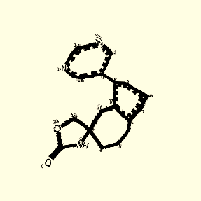 O=C1NC2(CCc3cccc(-c4cncnc4)c3C2)CO1